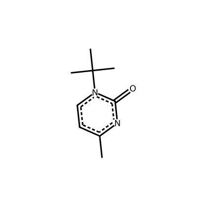 Cc1ccn(C(C)(C)C)c(=O)n1